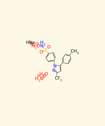 Cc1ccc(-c2cc(C(F)(F)F)nn2-c2ccc(S(N)(=O)=O)cc2)cc1.O.O.O.O.O.[NaH]